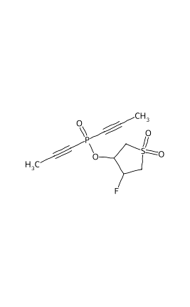 CC#CP(=O)(C#CC)OC1CS(=O)(=O)CC1F